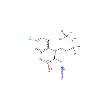 CC1(C)CC([C@H](c2ccc(Cl)cc2)C(N=[N+]=[N-])C(=O)O)CC(C)(C)O1